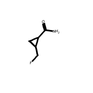 NC(=O)C1CC1CF